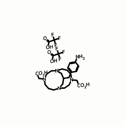 Nc1ccc(CC2CN3CCCN(CC(=O)O)CCN(CCCN(CC(=O)O)CC3)C2)cc1.O=C(O)C(F)(F)F.O=C(O)C(F)(F)F